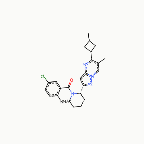 CC(=O)Nc1ccc(Cl)cc1C(=O)N1CCCC[C@H]1c1cc2nc(C3CC(C)C3)c(C)cn2n1